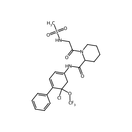 CS(=O)(=O)NCC(=O)N1CCCCC1C(=O)NC1=CC=C(c2ccccc2)C(Cl)(OC(F)(F)F)C1